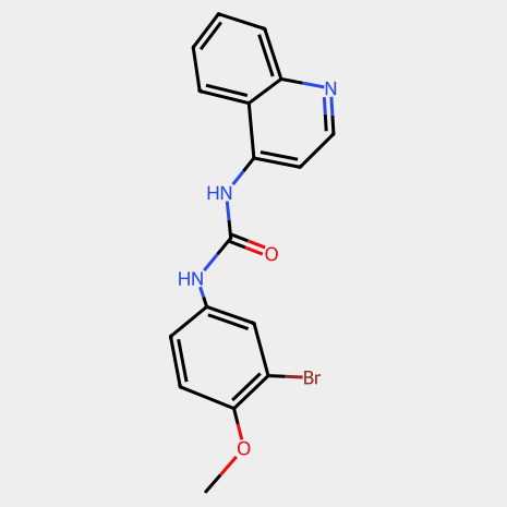 COc1ccc(NC(=O)Nc2ccnc3ccccc23)cc1Br